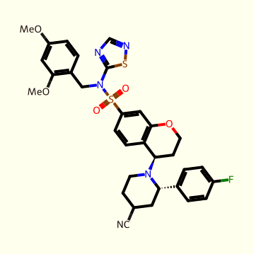 COc1ccc(CN(c2ncns2)S(=O)(=O)c2ccc3c(c2)OCC[C@H]3N2CCC(C#N)C[C@H]2c2ccc(F)cc2)c(OC)c1